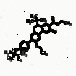 C/C=C(\C=C/C(C)(O)NC(C)(C)C)c1cc2c(cc1OCC)-c1cc(=O)c(C(=O)OCC)cn1C(C(C)(C)C)C2